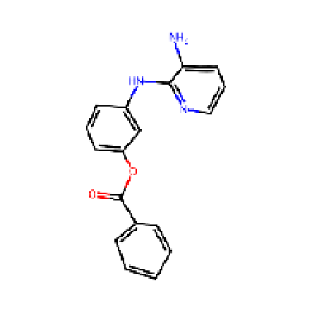 Nc1cccnc1Nc1cccc(OC(=O)c2ccccc2)c1